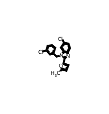 Cc1ccc(-c2nc3ccc(Cl)cc3n2Cc2cccc(Cl)c2)o1